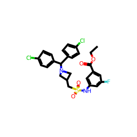 CCOC(=O)c1cc(F)cc(NS(=O)(=O)CC2CN(C(c3ccc(Cl)cc3)c3ccc(Cl)cc3)C2)c1